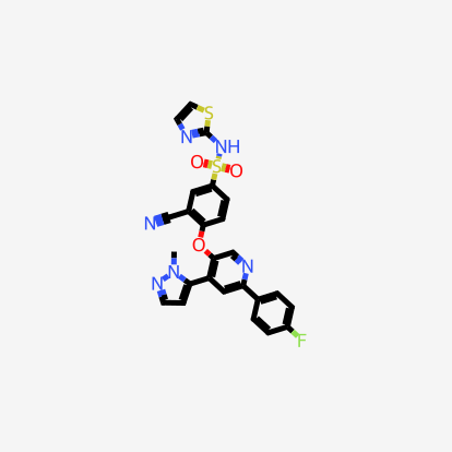 Cn1nccc1-c1cc(-c2ccc(F)cc2)ncc1Oc1ccc(S(=O)(=O)Nc2nccs2)cc1C#N